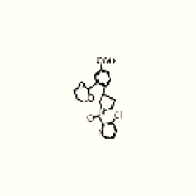 COc1ccc(C2CCN(C(=O)c3ncccc3Cl)C2)c(C2OCCCO2)c1